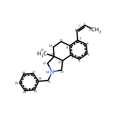 C/C=C\c1cccc2c1CCC1(C)CN(Cc3ccccc3)CC21